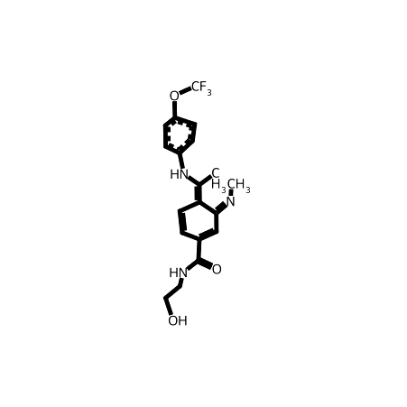 C/N=C1/C=C(C(=O)NCCO)C=C/C1=C(/C)Nc1ccc(OC(F)(F)F)cc1